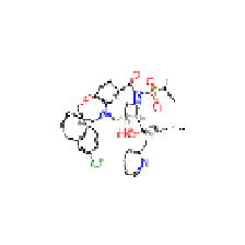 CC/C=C/[C@](O)(Cc1ccccn1)[C@@H]1CC[C@H]1CN1C[C@@]2(CCCc3cc(Cl)ccc32)COc2ccc(C(=O)NS(=O)(=O)C(C)C)cc21